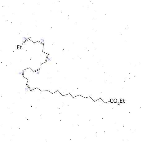 CC/C=C\C/C=C\C/C=C\C/C=C\C/C=C\C/C=C\CCCCCCCCCCCCCCC(=O)OCC